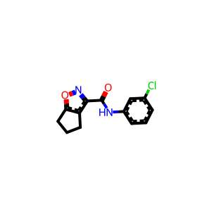 O=C(Nc1cccc(Cl)c1)c1noc2c1CCC2